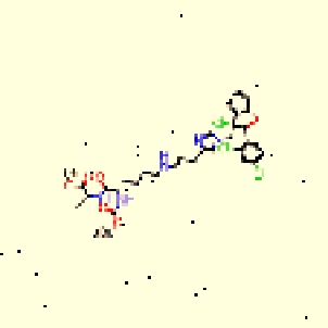 C[C@H](NC(=O)[C@H](CCCCN/C=C/Cc1cn(CC(Cl)(C(=O)c2ccc(Cl)cc2Cl)c2ccccc2)cn1)NC(=O)OC(C)(C)C)C(=O)OC(C)(C)C